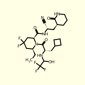 CC[C@H]1CC(F)(F)C[C@@H](C(=O)N[C@H](C#N)C[C@@H]2CCCNC2=O)N1C(=O)[C@H](CC1CCC1)NC(O)C(F)(F)F